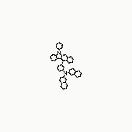 c1ccc(-n2c3ccccc3c3c(-c4cccc(N(c5ccc6ccccc6c5)c5ccc6ccccc6c5)c4)c4ccccc4cc32)cc1